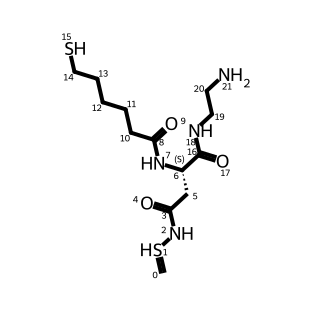 C=[SH]NC(=O)C[C@H](NC(=O)CCCCCS)C(=O)NCCN